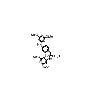 CC[C@@](Cc1ccc(Nc2nc(OC)nc(OC)n2)cc1)(Nc1nc(OC)nc(OC)n1)C(=O)O